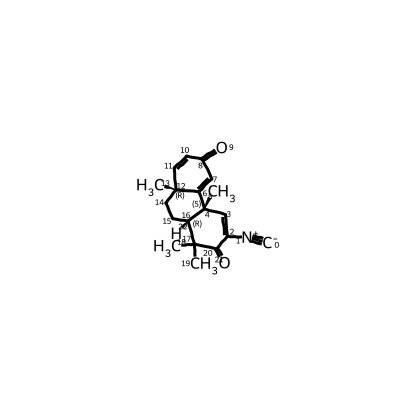 [C-]#[N+]C1=C[C@@]2(C)C3=CC(=O)C=C[C@@]3(C)CC[C@H]2C(C)(C)C1=O